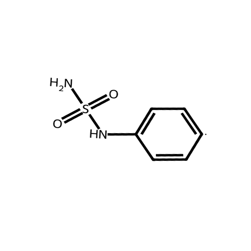 NS(=O)(=O)Nc1cc[c]cc1